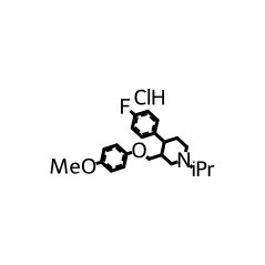 COc1ccc(OCC2CN(C(C)C)CCC2c2ccc(F)cc2)cc1.Cl